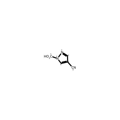 N#Cc1cnn(C(=O)O)c1